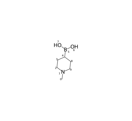 CN1CCC(B(O)O)CC1